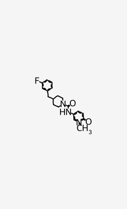 Cn1cc(NC(=O)N2CCC(Cc3cccc(F)c3)CC2)ccc1=O